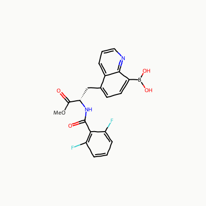 COC(=O)[C@H](Cc1ccc(B(O)O)c2ncccc12)NC(=O)c1c(F)cccc1F